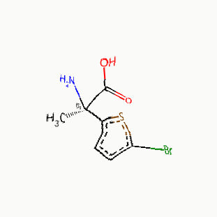 C[C@](N)(C(=O)O)c1ccc(Br)s1